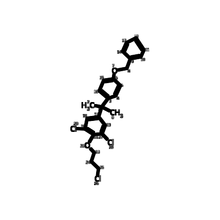 CC(C)(c1ccc(OCc2ccccc2)cc1)c1cc(Cl)c(OCCCCl)c(Cl)c1